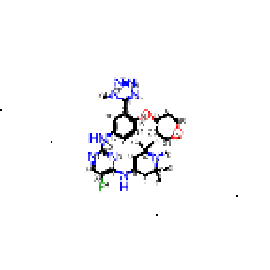 CN1C(C)(C)CC(Nc2nc(Nc3ccc(OC4CCOCC4)c(-c4nnnn4C)c3)ncc2F)CC1(C)C